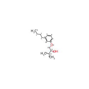 CCCCc1cccc(OCC(O)C(C)C)c1